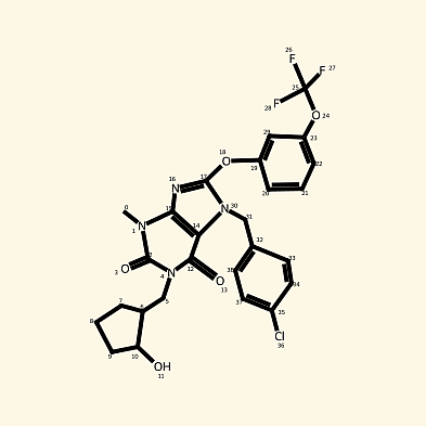 Cn1c(=O)n(CC2CCCC2O)c(=O)c2c1nc(Oc1cccc(OC(F)(F)F)c1)n2Cc1ccc(Cl)cc1